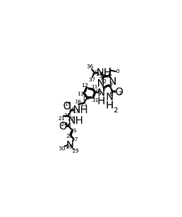 CCc1nc(C(N)=O)c(Nc2cccc(CCNC(=O)C(C)NC(=O)C=CCN(C)C)c2)nc1NC(C)C